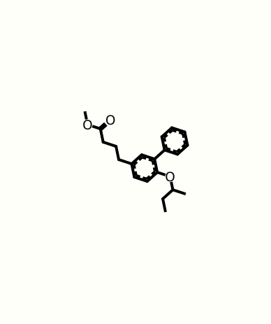 CCC(C)Oc1ccc(CCCC(=O)OC)cc1-c1ccccc1